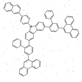 c1ccc(-c2cc(-c3cc4ccccc4c4ccccc34)ccc2-c2ccc3c(c2)c2cc(-c4ccc(-c5cc6ccccc6c6ccccc56)cc4-c4ccccc4)ccc2n3-c2ccc(-c3ccc4ccccc4c3)cc2)cc1